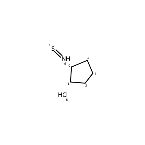 C1CCCC1.Cl.N=S